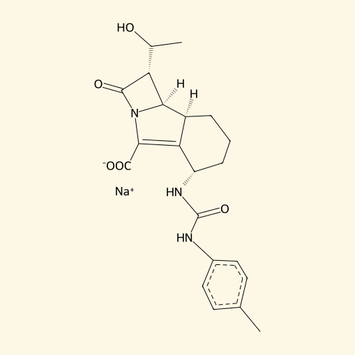 Cc1ccc(NC(=O)N[C@H]2CCC[C@H]3C2=C(C(=O)[O-])N2C(=O)[C@H](C(C)O)[C@@H]32)cc1.[Na+]